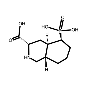 O=C(O)[C@@H]1C[C@@H]2[C@H](CCC[C@@H]2P(=O)(O)O)CN1